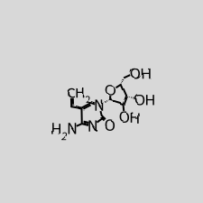 C=Cc1cn([C@@H]2O[C@H](CO)[C@H](O)C2O)c(=O)nc1N